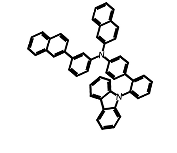 c1cc(-c2ccc3ccccc3c2)cc(N(c2ccc(-c3ccccc3-n3c4ccccc4c4ccccc43)cc2)c2ccc3ccccc3c2)c1